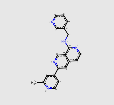 Cc1cc(-c2cc3ccnc(NCc4cccnc4)c3cn2)ccn1